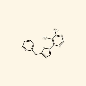 Nc1nccc(-c2ccc(Cc3ccccc3)s2)c1N